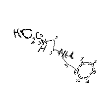 O=C(O)NCCNCc1ccccc1